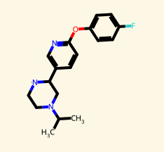 CC(C)N1CC[N]C(c2ccc(Oc3ccc(F)cc3)nc2)C1